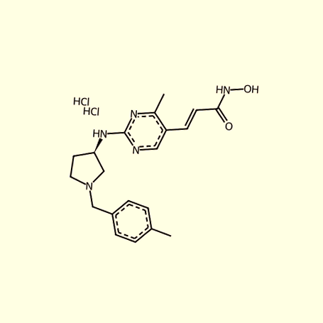 Cc1ccc(CN2CC[C@@H](Nc3ncc(/C=C/C(=O)NO)c(C)n3)C2)cc1.Cl.Cl